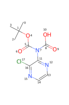 CC(C)(C)OC(=O)N(C(=O)O)c1nccnc1Cl